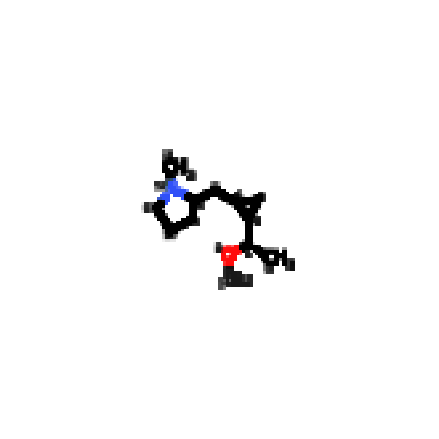 C[C@@H](OC(C)(C)C)C1CC1CC1CCCN1C